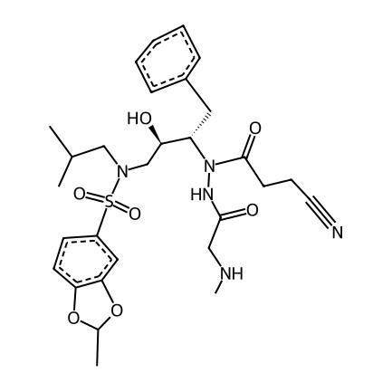 CNCC(=O)NN(C(=O)CCC#N)[C@@H](Cc1ccccc1)[C@H](O)CN(CC(C)C)S(=O)(=O)c1ccc2c(c1)OC(C)O2